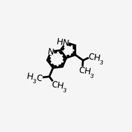 CC(C)c1cnc2[nH]cc(C(C)C)c2c1